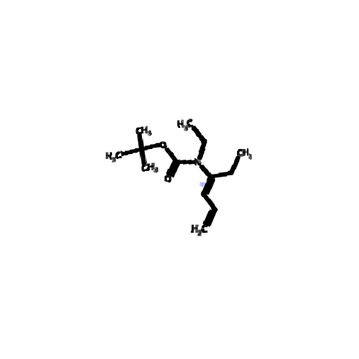 C=C/C=C(\CC)N(CC)C(=O)OC(C)(C)C